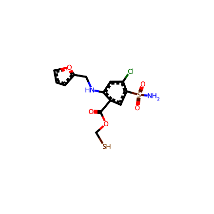 NS(=O)(=O)c1cc(C(=O)OCS)c(NCc2ccco2)cc1Cl